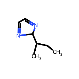 CCC(C)C1N=CC=N1